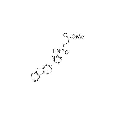 COC(=O)CCC(=O)Nc1nc(-c2ccc3c(c2)Cc2ccccc2-3)cs1